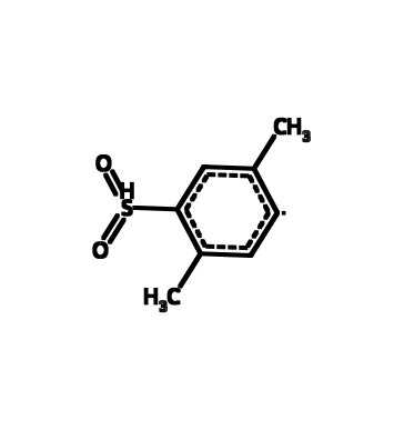 Cc1[c]cc(C)c([SH](=O)=O)c1